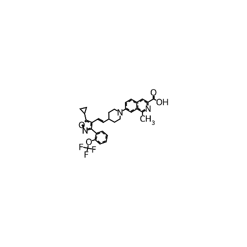 Cc1nc(C(=O)O)cc2ccc(N3CCC(/C=C/c4c(-c5ccccc5OC(F)(F)F)noc4C4CC4)CC3)cc12